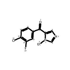 CCn1cncc1C(=O)c1ccc(Cl)c(F)c1